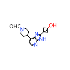 O=CN1CCC(c2ccnc3[nH]c(C45CC(O)(C4)C5)nc23)CC1